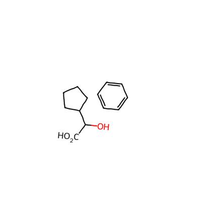 O=C(O)C(O)C1CCCC1.c1ccccc1